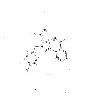 COc1ccccc1-n1nc(Cc2ccc(Cl)cn2)c(C(N)=O)c1N